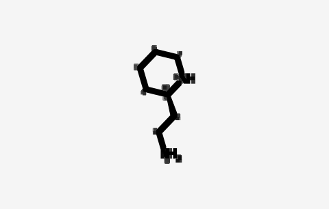 NCC[C@H]1CCCCN1